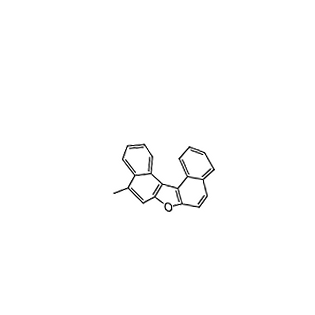 Cc1cc2oc3ccc4ccccc4c3c2c2ccccc12